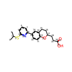 CC(C)Sc1cccc(-c2ccc3c(c2)CCC(CCC(=O)O)O3)n1